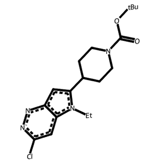 CCn1c(C2CCN(C(=O)OC(C)(C)C)CC2)cc2nnc(Cl)cc21